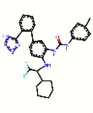 Cc1ccc(NC(=O)Nc2cc(-c3ccccc3-c3nnn[nH]3)ccc2NC(C(F)F)C2CCCCC2)cc1